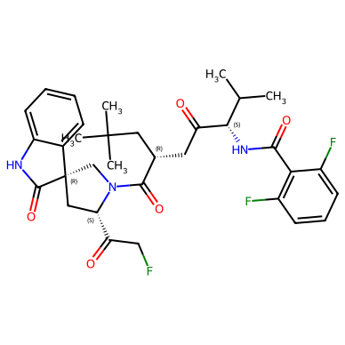 CC(C)[C@H](NC(=O)c1c(F)cccc1F)C(=O)C[C@@H](CC(C)(C)C)C(=O)N1C[C@]2(C[C@H]1C(=O)CF)C(=O)Nc1ccccc12